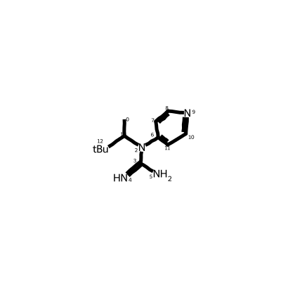 CC(N(C(=N)N)c1ccncc1)C(C)(C)C